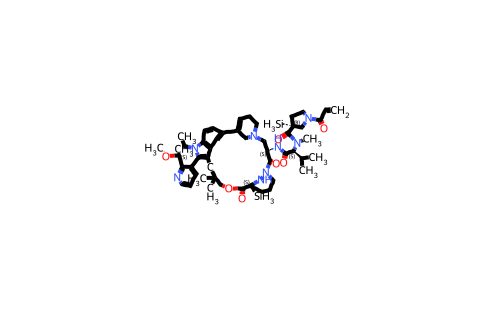 C=CC(=O)N1CC[C@]([SiH3])(C(=O)N(C)[C@H](C(=O)N[C@H]2CN3CCC=C(C3)c3ccc4c(c3)c(c(-c3cccnc3[C@H](C)OC)n4CC)CC(C)(C)COC(=O)[C@@]3([SiH3])CCCN(N3)C2=O)C(C)C)C1